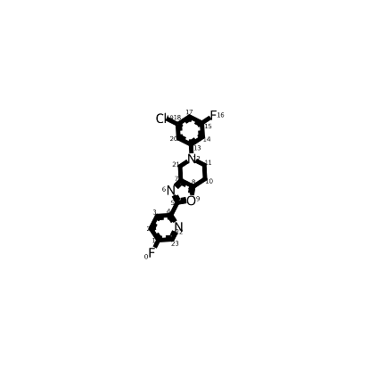 Fc1ccc(-c2nc3c(o2)CCN(c2cc(F)cc(Cl)c2)C3)nc1